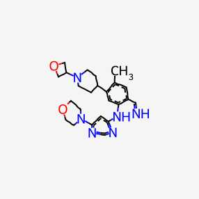 Cc1cc(C=N)c(Nc2cc(N3CCOCC3)ncn2)cc1C1CCN(C2COC2)CC1